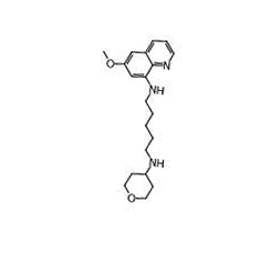 COc1cc(NCCCCCNC2CCOCC2)c2ncccc2c1